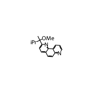 COC(C)(c1ccc2ccc3ncccc3c2n1)C(C)C